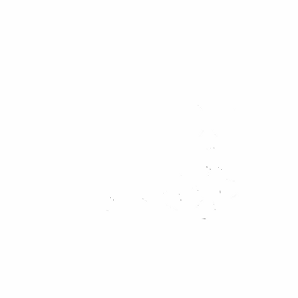 COc1cc(-c2cccc(-c3cccc4c3cnn4Cc3ccc(CN(C)C4CCCCC4)c(OC)c3)c2Cl)ccc1CNCC1CCC(=O)N1